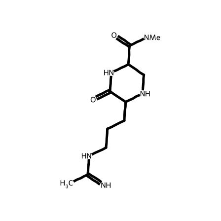 CNC(=O)C1CNC(CCCNC(C)=N)C(=O)N1